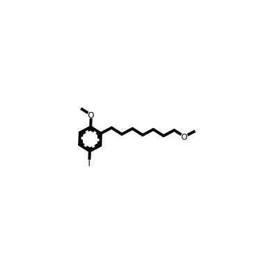 COCCCCCCCc1cc(I)ccc1OC